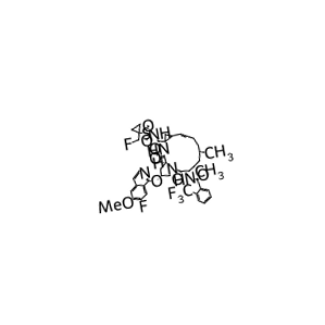 COc1cc2ccnc(O[C@@H]3C[C@H]4C(=O)NC5(C(=O)NS(=O)(=O)C6(CF)CC6)CC5/C=C\CC[C@@H](C)C[C@@H](C)[C@H](NC(=O)c5ccccc5C(F)(F)F)C(=O)N4C3)c2cc1F